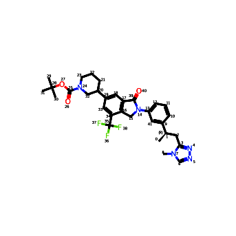 C[C@H](Cc1nncn1C)c1cccc(N2Cc3c(cc(C4CCCN(C(=O)OC(C)(C)C)C4)cc3C(F)(F)F)C2=O)c1